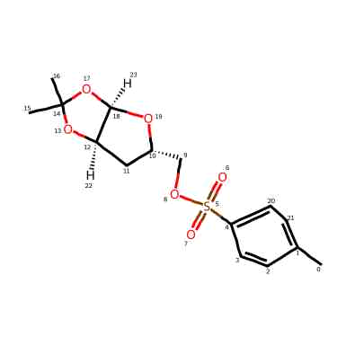 Cc1ccc(S(=O)(=O)OC[C@@H]2C[C@H]3OC(C)(C)O[C@H]3O2)cc1